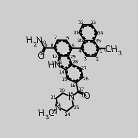 Cc1ccc(-c2ccc(C(N)=O)c3[nH]c4cc(C(=O)N5CCN(C)CC5)ccc4c23)c2ccccc12